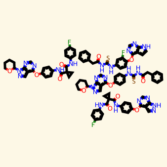 O=C(Cc1ccccc1)NC(=S)Nc1ccc(Oc2ncnc3[nH]ccc23)c(F)c1.O=C(Cc1ccccc1)NC(=S)Nc1ccc(Oc2ncnc3c2cnn3C2CCCCO2)cc1.O=C(Nc1ccc(F)cc1)C1(C(=O)Nc2ccc(Oc3ncnc4[nH]ncc34)cc2)CC1.O=C(Nc1ccc(F)cc1)C1(C(=O)Nc2ccc(Oc3ncnc4c3cnn4C3CCCCO3)cc2)CC1